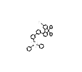 N#Cc1ccc2c(c1)-c1c(-c3cccc(-c4cccc(-c5nc(-c6ccccc6)nc(-c6ccccc6)n5)c4)c3)cccc1C21c2ccccc2Oc2ccccc21